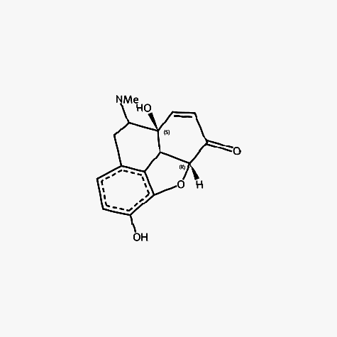 CNC1Cc2ccc(O)c3c2C2[C@@H](O3)C(=O)C=C[C@@]12O